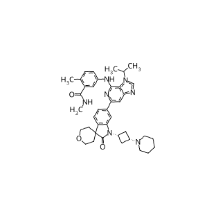 CNC(=O)c1cc(Nc2nc(-c3ccc4c(c3)N([C@H]3C[C@@H](N5CCCCC5)C3)C(=O)C43CCOCC3)cc3ncn(C(C)C)c23)ccc1C